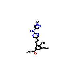 CCn1cc(Nc2ncc(/C=C/c3cc(C(=O)NC)cc(OC)c3C#N)cn2)cn1